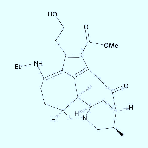 CCNC1=C2C(CCO)=C(C(=O)OC)C3=C2[C@]2(C)[C@H](CC1)CN1C[C@H](C)[C@@H](C[C@@H]12)C3=O